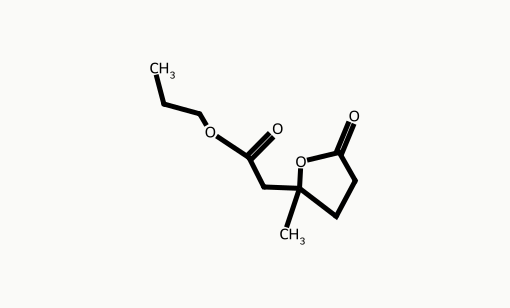 CCCOC(=O)CC1(C)CCC(=O)O1